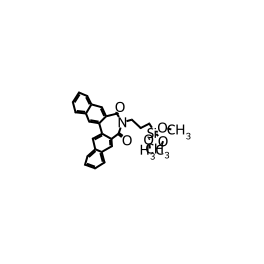 CO[Si](CCCn1c(=O)c2cc3ccccc3cc2c2cc3ccccc3cc2c1=O)(OC)OC